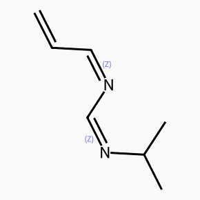 C=C/C=N\C=N/C(C)C